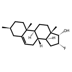 C[C@H]1CC[C@@]2(C)C(=CC[C@H]3[C@@H]4C[C@@H](F)[C@@H](O)[C@@]4(C)CC[C@@H]32)C1